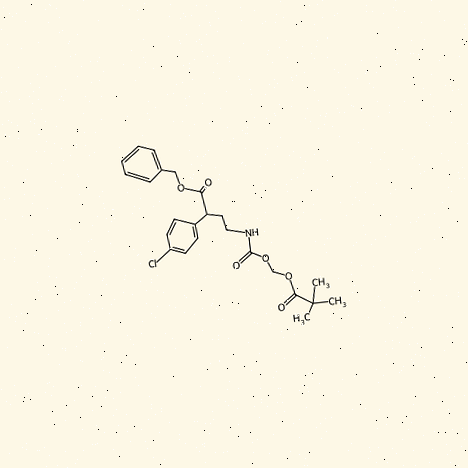 CC(C)(C)C(=O)OCOC(=O)NCCC(C(=O)OCc1ccccc1)c1ccc(Cl)cc1